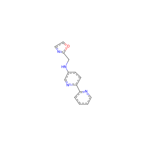 c1ccc(-c2ccc(NCc3ncco3)cn2)nc1